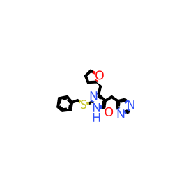 O=c1[nH]c(SCc2ccccc2)nc(C[C@H]2CCCO2)c1Cc1cncnc1